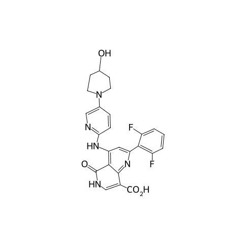 O=C(O)c1c[nH]c(=O)c2c(Nc3ccc(N4CCC(O)CC4)cn3)cc(-c3c(F)cccc3F)nc12